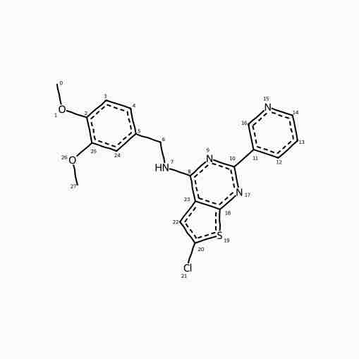 COc1ccc(CNc2nc(-c3cccnc3)nc3sc(Cl)cc23)cc1OC